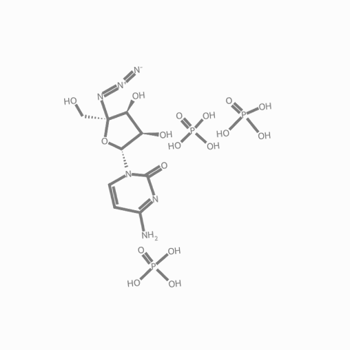 O=P(O)(O)O.O=P(O)(O)O.O=P(O)(O)O.[N-]=[N+]=N[C@]1(CO)O[C@@H](n2ccc(N)nc2=O)[C@H](O)[C@@H]1O